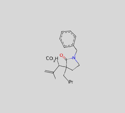 C=C(C)C(C(=O)O)C1(CC(C)C)CCN(Cc2ccccc2)C1=O